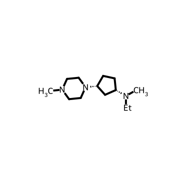 CCN(C)[C@H]1CC[C@@H](N2CCN(C)CC2)C1